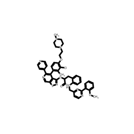 COc1ccccc1-c1nccc(COc2ccccc2CC(Oc2nsc3cnc(-c4ccncc4)c(-c4ccc(OCCN5CCN(C)CC5)c(Cl)c4C)c23)C(=O)O)n1